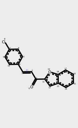 O=C(/C=C/c1ccc(Cl)cc1)c1cc2ccccc2o1